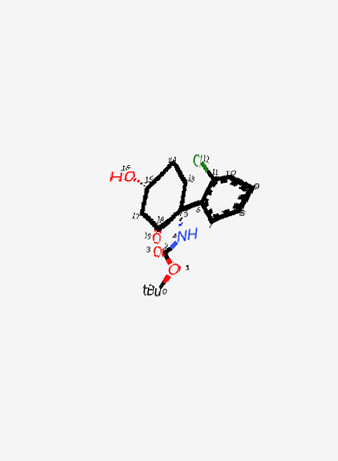 CC(C)(C)OC(=O)N[C@@]1(c2ccccc2Cl)CC[C@@H](O)CC1=O